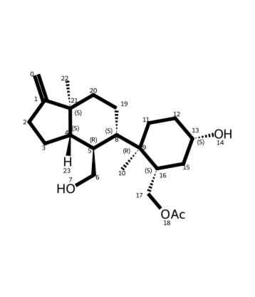 C=C1CC[C@H]2[C@H](CO)[C@@H]([C@@]3(C)CC[C@H](O)C[C@@H]3COC(C)=O)CC[C@]12C